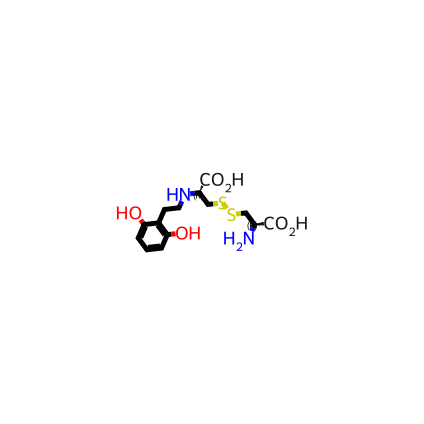 N[C@@H](CSSC[C@H](NCCc1c(O)cccc1O)C(=O)O)C(=O)O